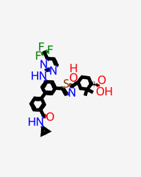 CC1(C)C[C@](O)(c2ncc(-c3cc(Nc4nccc(C(F)(F)F)n4)cc(-c4cccc(C(=O)NC5CC5)c4)c3)s2)CC[C@H]1C(=O)O